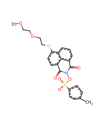 CCOCCOCCSc1ccc2c3c(cccc13)C(=O)N(OS(=O)(=O)c1ccc(C)cc1)C2=O